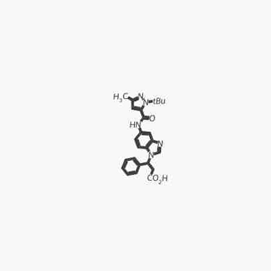 Cc1cc(C(=O)Nc2ccc3c(c2)ncn3C(CC(=O)O)c2ccccc2)n(C(C)(C)C)n1